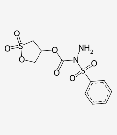 NN(C(=O)OC1COS(=O)(=O)C1)S(=O)(=O)c1ccccc1